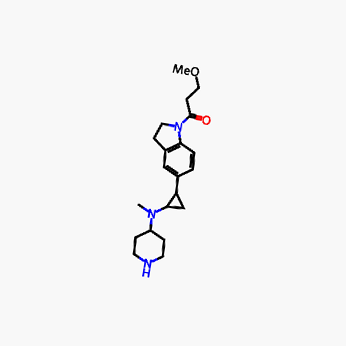 COCCC(=O)N1CCc2cc(C3CC3N(C)C3CCNCC3)ccc21